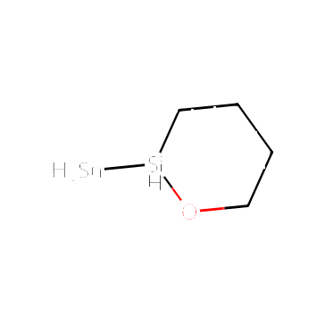 [SnH3][SiH]1CCCCO1